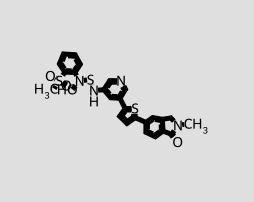 CN1Cc2cc(-c3ccc(-c4cncc(NSN(O)c5ccccc5S(C)(=O)=O)c4)s3)ccc2C1=O